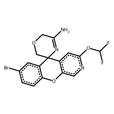 NC1=NC2(COC1)c1cc(Br)ccc1Oc1cnc(OC(F)F)cc12